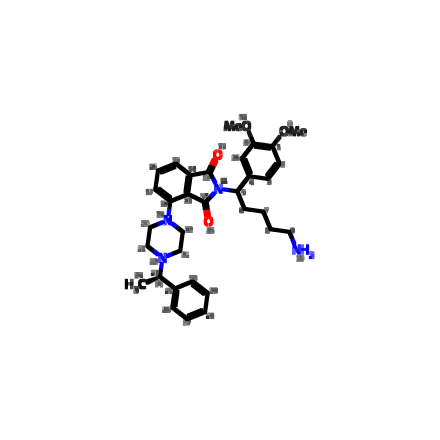 COc1ccc(C(CCCCN)N2C(=O)c3cccc(N4CCN([C@H](C)c5ccccc5)CC4)c3C2=O)cc1OC